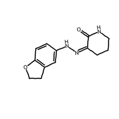 O=C1NCCCC1=NNc1ccc2c(c1)CCO2